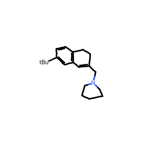 CC(C)(C)c1ccc2c(c1)C=C(CN1CCCCC1)CC2